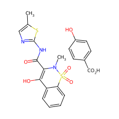 Cc1cnc(NC(=O)C2=C(O)c3ccccc3S(=O)(=O)N2C)s1.O=C(O)c1ccc(O)cc1